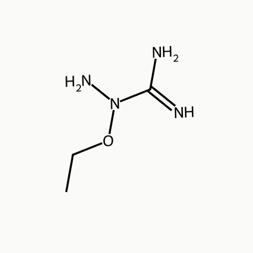 CCON(N)C(=N)N